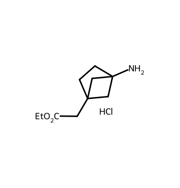 CCOC(=O)CC12CCC(N)(C1)C2.Cl